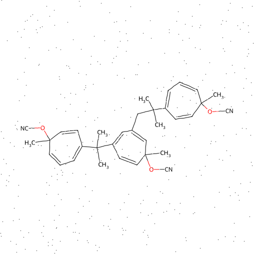 CC1(OC#N)C=CC=C(C(C)(C)CC2=CC(C)(OC#N)C=CC(C(C)(C)C3=CC=CC(C)(OC#N)C=C3)=C2)C=C1